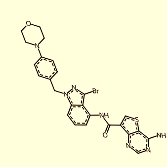 Nc1ncnc2c(C(=O)Nc3cccc4c3c(Br)nn4Cc3ccc(N4CCOCC4)cc3)csc12